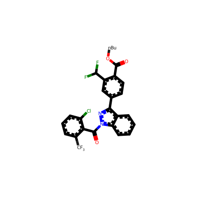 CCCCOC(=O)c1ccc(-c2nn(C(=O)c3c(Cl)cccc3C(F)(F)F)c3ccccc23)cc1C(F)F